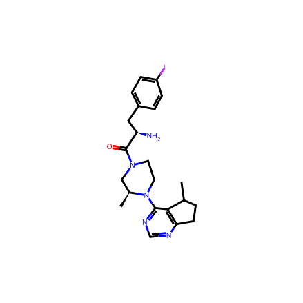 CC1CCc2ncnc(N3CCN(C(=O)[C@H](N)Cc4ccc(I)cc4)C[C@@H]3C)c21